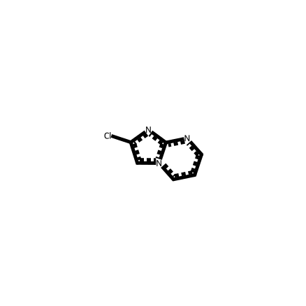 Clc1cn2cccnc2n1